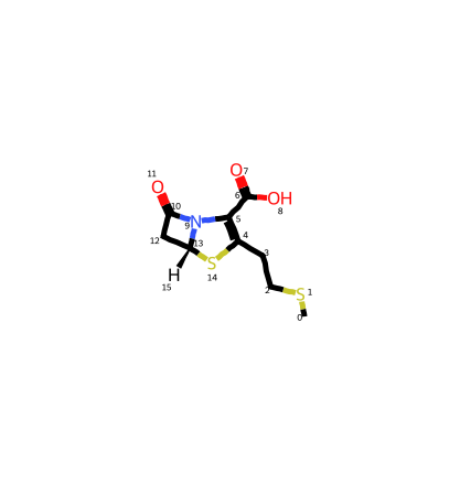 CSCCC1=C(C(=O)O)N2C(=O)C[C@H]2S1